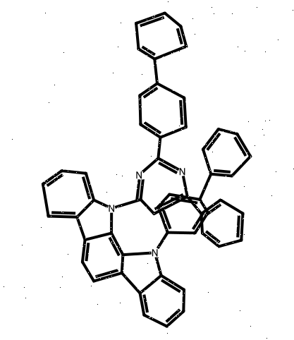 c1ccc(-c2ccc(-c3nc(-c4ccccc4)cc(-n4c5ccccc5c5ccc6c7ccccc7n(-c7ccc(-c8ccccc8)cc7)c6c54)n3)cc2)cc1